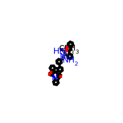 CC/C(NC)=C(/N=C(\N)c1cccc(-c2cccc3c2-c2ccccc2C32c3ccccc3-n3c4ccccc4c4cccc2c43)c1)c1ccccc1-c1ccc2ccccc2c1